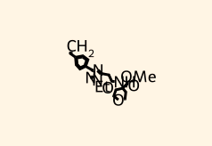 C=Cc1ccc(-c2nc(CC(=O)NC3(C(=O)OC)CCOCC3)n(CC)n2)cc1